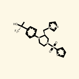 C[C@](O)(c1ccc(N2CCN(S(=O)(=O)c3cccs3)C[C@@H]2Cn2ccnc2)cc1)C(F)(F)F